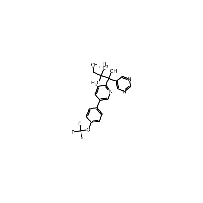 CCC(C)(C)C(O)(c1cncnc1)c1ccc(-c2ccc(OC(F)(F)F)cc2)cn1